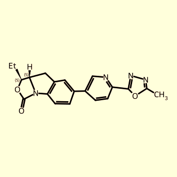 CC[C@@H]1OC(=O)N2c3ccc(-c4ccc(-c5nnc(C)o5)nc4)cc3C[C@@H]12